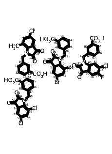 Cc1cc(Cl)cc2c1N(Cc1cccc(C(=O)O)c1)C(=O)C2=O.O=C(O)c1cccc(CN2C(=O)C(=O)c3cc(Br)cc(Br)c32)c1.O=C(O)c1cccc(CN2C(=O)C(=O)c3cc(Cl)cc(Cl)c32)c1.O=C(O)c1cccc(CN2C(=O)C(=O)c3cc(F)c(Cl)cc32)c1